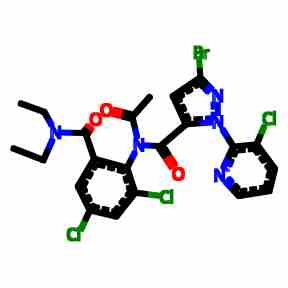 CCN(CC)C(=O)c1cc(Cl)cc(Cl)c1N(C(C)=O)C(=O)c1cc(Br)nn1-c1ncccc1Cl